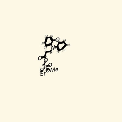 CCOP(=O)(COC(=O)CCN1c2ccccc2Oc2ccccc21)OC